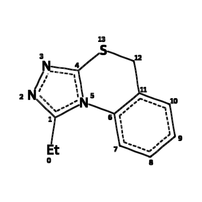 CCc1nnc2n1-c1ccccc1CS2